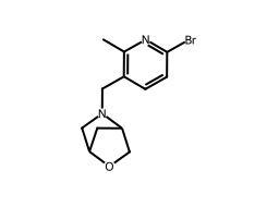 Cc1nc(Br)ccc1CN1CC2CC1CO2